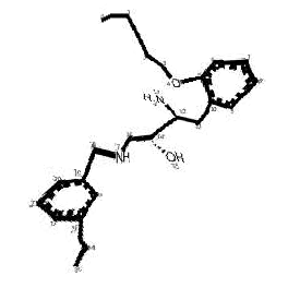 CCCCOc1ccccc1C[C@H](N)[C@H](O)CNCc1cccc(CC)c1